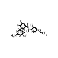 C[C@]1(c2cc(NC(=O)c3ncc(OCC(F)(F)F)cc3Cl)cc(F)c2F)N=C(N)S[C@@]2(CF)C[C@H]21